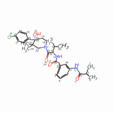 CC(C)C(=O)Nc1cccc(C(=O)N[C@@H](C(=O)N2CC[C@](O)(c3ccc(Cl)cc3)C(C)(C)C2)C(C)C)c1